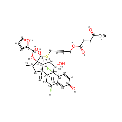 CC(C)COC(=O)CCC(=O)OCC#CCSC(=O)[C@@]1(OC(=O)c2ccco2)[C@H](C)C[C@H]2[C@@H]3C[C@H](F)C4=CC(=O)C=C[C@]4(C)[C@@]3(F)[C@@H](O)C[C@@]21C